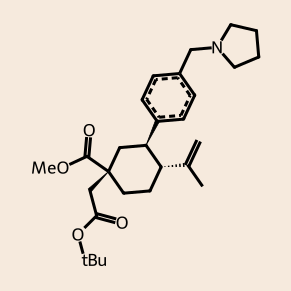 C=C(C)[C@@H]1CC[C@](CC(=O)OC(C)(C)C)(C(=O)OC)C[C@H]1c1ccc(CN2CCCC2)cc1